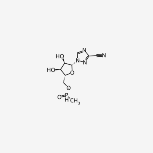 C[PH](=O)OC[C@H]1O[C@@H](n2cnc(C#N)n2)[C@H](O)[C@@H]1O